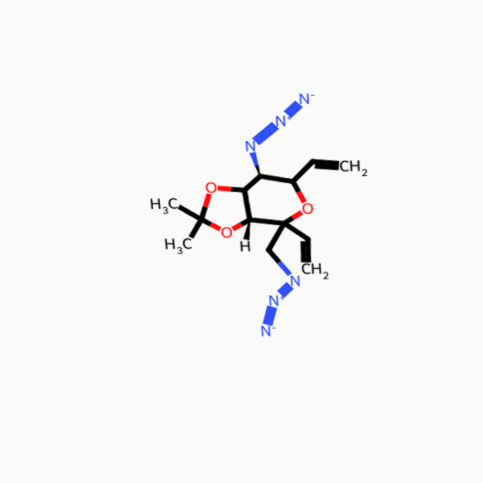 C=CC1OC(C=C)(CN=[N+]=[N-])[C@@H]2OC(C)(C)OC2[C@H]1N=[N+]=[N-]